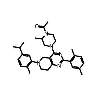 CC(=O)N1CCN(c2nc(-c3cc(C)ccc3C)nc3c2CN(c2cc(C(C)C)ccc2C)CC3)CC1C